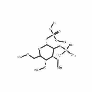 CCCCOCC1O[C@H](CP(=O)(OCC)OCC)C(O[Si](C)(C)C(C)(C)C)[C@@H](OCCCC)[C@@H]1OCCCC